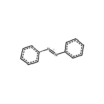 [c]1ccccc1/N=N/c1ccccc1